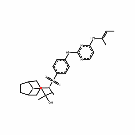 C/C=C(\C)Nc1ccnc(Nc2ccc(S(=O)(=O)N(C)C3CC4CCC(C3)N4CC(C)(C)O)cc2)n1